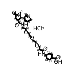 CN1C(=O)C[C@H](C(=O)NCCOCCOCCOCCC(=O)NC2CCC(C(=O)O)CC2)[C@H]1c1cccnc1.Cl